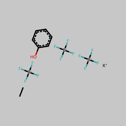 CC.F[B-](F)(F)F.F[B-](F)(F)F.F[B-](F)(F)F.Oc1ccccc1.[K+]